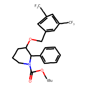 CC(C)(C)OC(=O)N1CCCC(OCc2cc(C(F)(F)F)cc(C(F)(F)F)c2)C1c1ccccc1